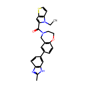 Cc1nc2ccc(-c3ccc4c(c3)CN(C(=O)c3cc5sccc5n3CC#N)CCO4)cc2[nH]1